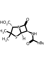 CCCCC(=O)N[C@@H]1C(=O)N2[C@@H]1SC(C)(C)[C@@H]2C(=O)O